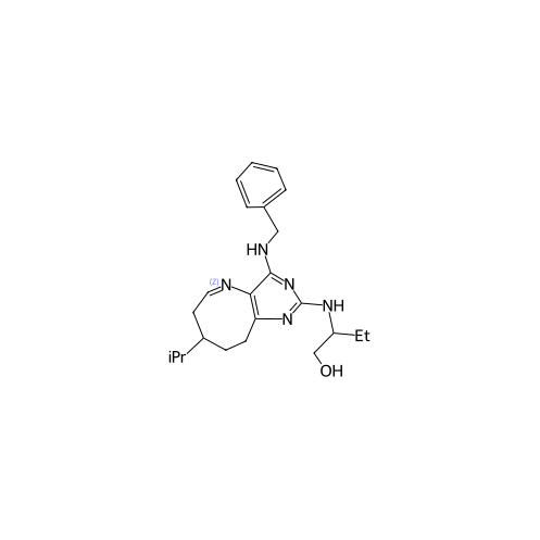 CCC(CO)Nc1nc2c(c(NCc3ccccc3)n1)/N=C\CC(C(C)C)CC2